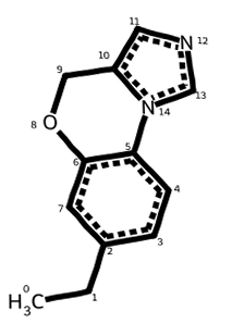 CCc1ccc2c(c1)OCc1cncn1-2